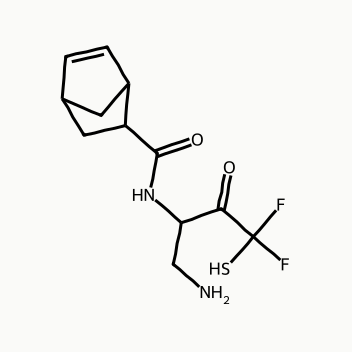 NCC(NC(=O)C1CC2C=CC1C2)C(=O)C(F)(F)S